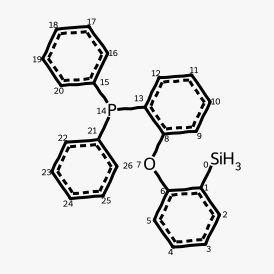 [SiH3]c1ccccc1Oc1ccccc1P(c1ccccc1)c1ccccc1